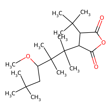 COC(CC(C)(C)C)C(C)(C)C(C)(C)C1C(=O)OC(=O)C1C(C)(C)C